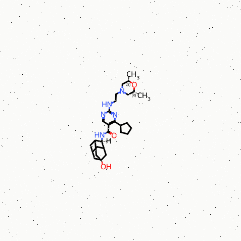 C[C@@H]1CN(CCNc2ncc(C(=O)N[C@H]3C4CC5CC3C[C@@](O)(C5)C4)c(C3CCCC3)n2)C[C@H](C)O1